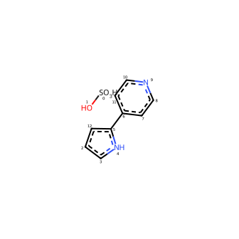 O=S(=O)(O)O.c1c[nH]c(-c2ccncc2)c1